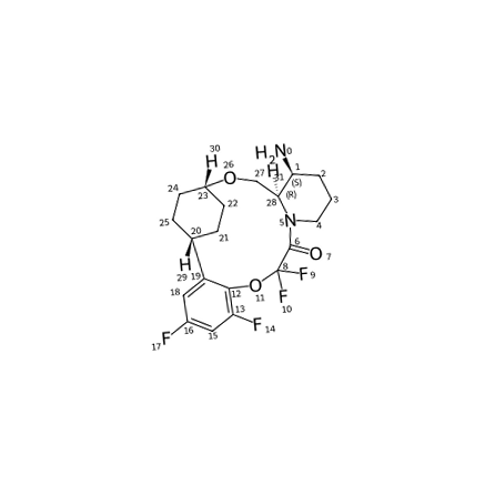 N[C@H]1CCCN2C(=O)C(F)(F)Oc3c(F)cc(F)cc3[C@H]3CC[C@H](CC3)OC[C@@H]12